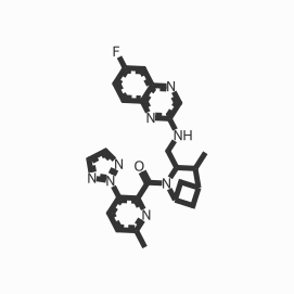 Cc1ccc(-n2nccn2)c(C(=O)N2C3CC(C3)C(C)C2CNc2cnc3cc(F)ccc3n2)n1